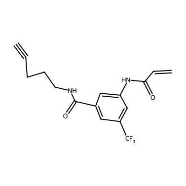 C#CCCCNC(=O)c1cc(NC(=O)C=C)cc(C(F)(F)F)c1